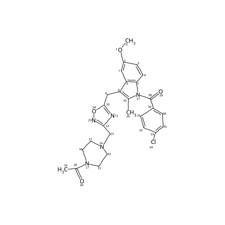 COc1ccc2c(c1)c(Cc1nc(CN3CCN(C(C)=O)CC3)no1)c(C)n2C(=O)c1ccc(Cl)cc1